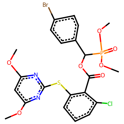 COc1cc(OC)nc(Sc2cccc(Cl)c2C(=O)OC(c2ccc(Br)cc2)P(=O)(OC)OC)n1